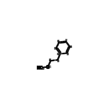 N#COCCc1ccccc1